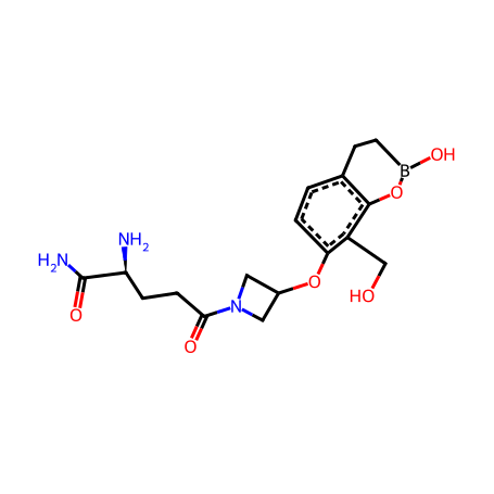 NC(=O)[C@@H](N)CCC(=O)N1CC(Oc2ccc3c(c2CO)OB(O)CC3)C1